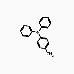 Cc1c[c]c(N(c2ccccc2)c2ccccc2)cc1